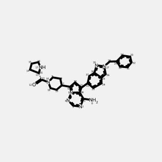 Nc1ncnn2c(C3CCN(C(=O)[C@@H]4CCCN4)CC3)cc(-c3ccc4cn(Cc5ccccc5)nc4c3)c12